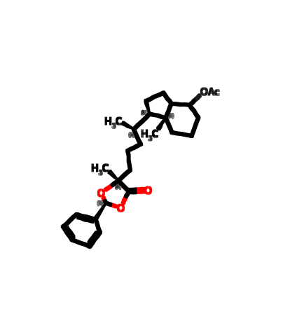 CC(=O)OC1CCC[C@@]2(C)C1CC[C@@H]2[C@H](C)CCC[C@@]1(C)O[C@H](c2ccccc2)OC1=O